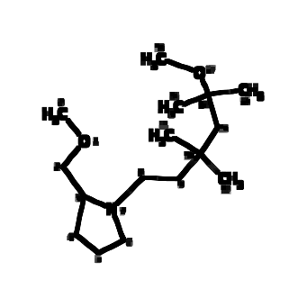 COCC1CCCN1CCC(C)(C)CC(C)(C)OC